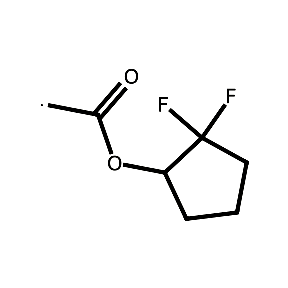 [CH2]C(=O)OC1CCCC1(F)F